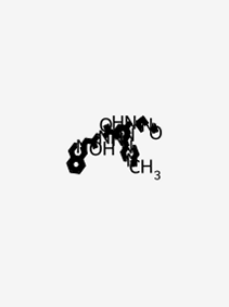 CN1CCN(c2nc(NC3CN(C=O)C3)cc(C(=O)NCC(O)CN3CCc4ccccc4C3)n2)CC1